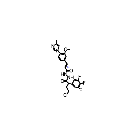 COc1cc(/C=C/C(=O)NNC(=O)C(CCCl)c2cc(F)c(F)c(F)c2)ccc1-n1cnc(C)c1